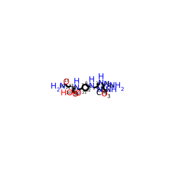 CN1C(CNC2=CCC(C(=O)N[C@@H](CCC(N)=O)C(=O)O)CC2)=CNc2nc(N)[nH]c(=O)c21